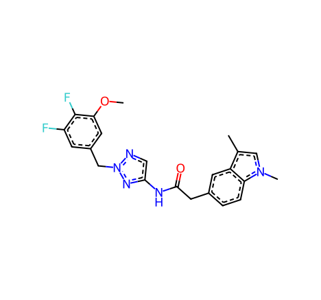 COc1cc(Cn2ncc(NC(=O)Cc3ccc4c(c3)c(C)cn4C)n2)cc(F)c1F